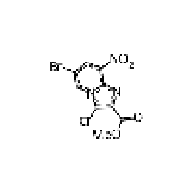 COC(=O)c1nc2c([N+](=O)[O-])cc(Br)cn2c1Cl